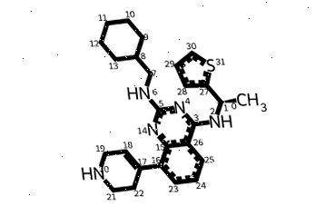 C[C@@H](Nc1nc(NCC2CCCCC2)nc2c(C3=CCNCC3)cccc12)c1cccs1